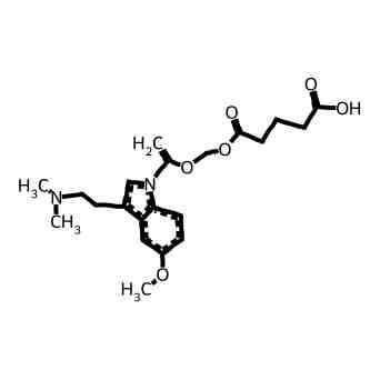 C=C(OCOC(=O)CCCC(=O)O)n1cc(CCN(C)C)c2cc(OC)ccc21